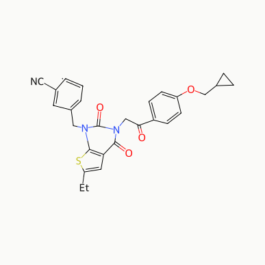 CCc1cc2c(=O)n(CC(=O)c3ccc(OCC4CC4)cc3)c(=O)n(Cc3cc[c]c(C#N)c3)c2s1